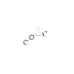 C=Cc1[nH]c(CC(O)(c2ccc(-c3ccc(F)cn3)cc2)C(F)(F)F)nc1CC(C)(C)C